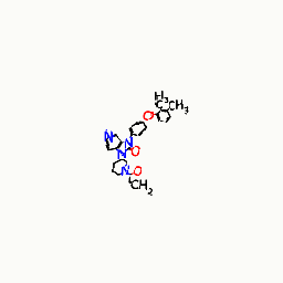 C=CC(=O)N1CCCC(n2c(=O)n(-c3ccc(Oc4cccc(C)c4C)cc3)c3cnccc32)C1